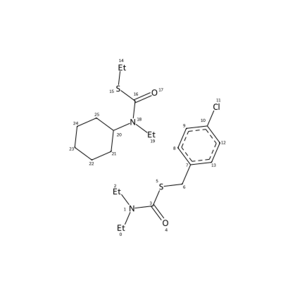 CCN(CC)C(=O)SCc1ccc(Cl)cc1.CCSC(=O)N(CC)C1CCCCC1